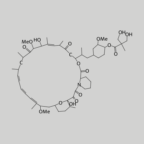 COC1CC2CCC(C)C(O)(O2)C(=O)C(=O)N2CCCCC2C(=O)OC(C(C)CC2CCC(OC(=O)C(C)(CO)CO)C(OC)C2)CC(=O)C(C)C=C(C)C(O)C(OC)C(=O)C(C)CC(C)C=CC=CC=C1C